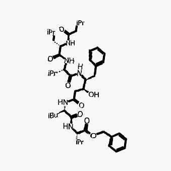 CC[C@H](C)[C@H](NC(=O)C[C@H](O)[C@H](Cc1ccccc1)NC(=O)[C@@H](NC(=O)[C@H](CC(C)C)NC(=O)CC(C)C)C(C)C)C(=O)N[C@H](C(=O)OCc1ccccc1)C(C)C